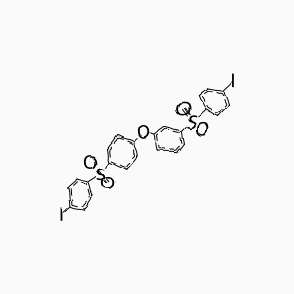 O=S(=O)(c1ccc(I)cc1)c1ccc(Oc2cccc(S(=O)(=O)c3ccc(I)cc3)c2)cc1